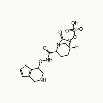 O=C(NOC1CNCc2ccsc21)[C@@H]1CC[C@@H]2CN1C(=O)N2OS(=O)(=O)O